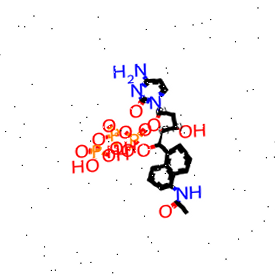 CC(=O)Nc1cccc2c(C(OP(=O)(O)OP(=O)(O)OP(=O)(O)O)[C@H]3O[C@@H](n4ccc(N)nc4=O)C[C@@H]3O)cccc12